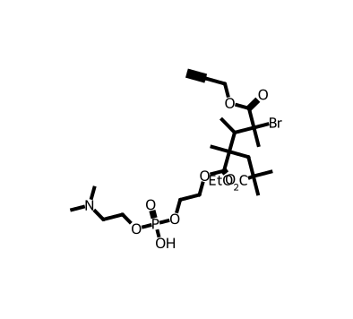 C#CCOC(=O)C(C)(Br)C(C)C(C)(CC(C)(C)C(=O)OCC)C(=O)OCCOP(=O)(O)OCCN(C)C